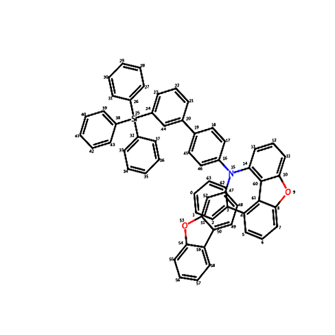 c1ccc(-c2cccc3oc4cccc(N(c5ccc(-c6cccc([Si](c7ccccc7)(c7ccccc7)c7ccccc7)c6)cc5)c5ccc6c(c5)oc5ccccc56)c4c23)cc1